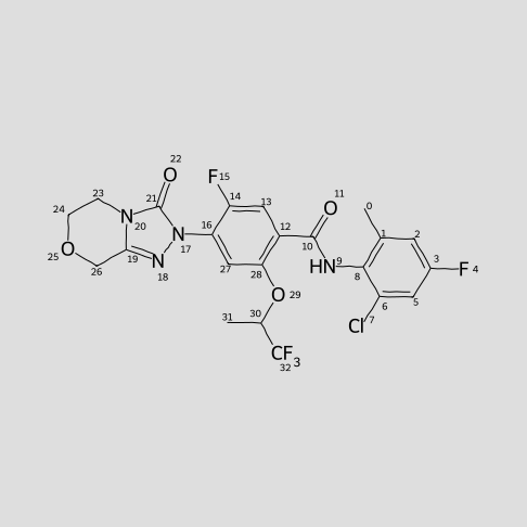 Cc1cc(F)cc(Cl)c1NC(=O)c1cc(F)c(-n2nc3n(c2=O)CCOC3)cc1OC(C)C(F)(F)F